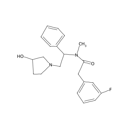 CN(C(=O)Cc1cccc(F)c1)C(CN1CCC(O)C1)c1ccccc1